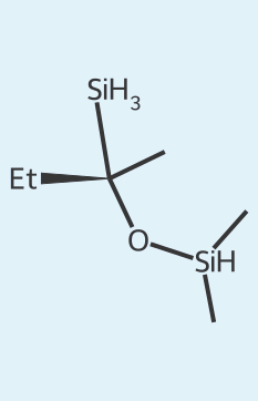 CC[C@](C)([SiH3])O[SiH](C)C